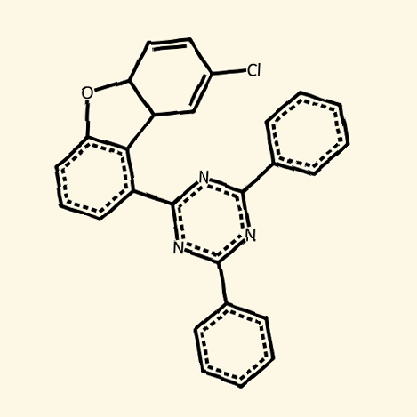 ClC1=CC2c3c(cccc3-c3nc(-c4ccccc4)nc(-c4ccccc4)n3)OC2C=C1